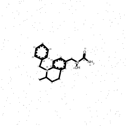 CC1CCc2cc(CN(O)C(N)=O)ccc2N1Cc1ccccc1